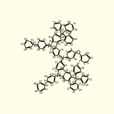 c1ccc(Oc2ccc(N(c3ccc4c(c3)c3cc([Si](c5ccccc5)(c5ccccc5)c5ccccc5)ccc3n4-c3ccc(-c4ccccc4)cc3)c3ccc4c(c3)c3cc([Si](c5ccccc5)(c5ccccc5)c5ccccc5)ccc3n4-c3ccc(-c4ccccc4)cc3)cc2)cc1